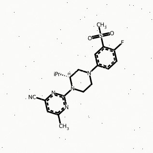 Cc1cc(C#N)nc(N2CCN(c3ccc(F)c(S(C)(=O)=O)c3)C[C@H]2C(C)C)n1